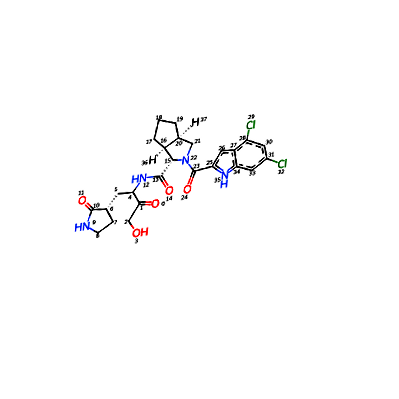 O=C(CO)C(C[C@@H]1CCNC1=O)NC(=O)[C@@H]1[C@H]2CCC[C@H]2CN1C(=O)c1cc2c(Cl)cc(Cl)cc2[nH]1